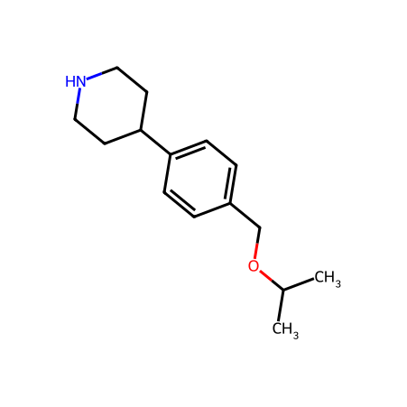 CC(C)OCc1ccc(C2CCNCC2)cc1